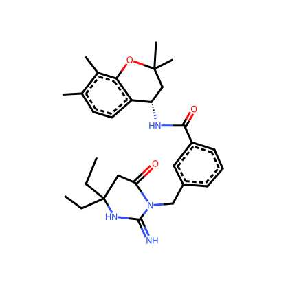 CCC1(CC)CC(=O)N(Cc2cccc(C(=O)N[C@H]3CC(C)(C)Oc4c3ccc(C)c4C)c2)C(=N)N1